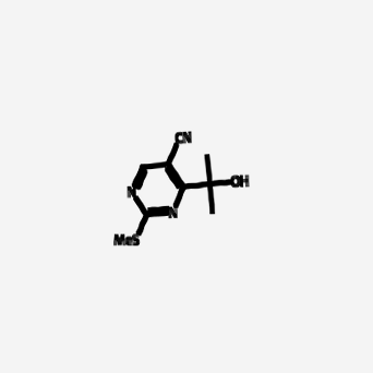 CSc1ncc(C#N)c(C(C)(C)O)n1